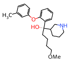 COCCCC[C@@](O)(c1ccccc1Oc1cccc(C)c1)C1CCCNC1